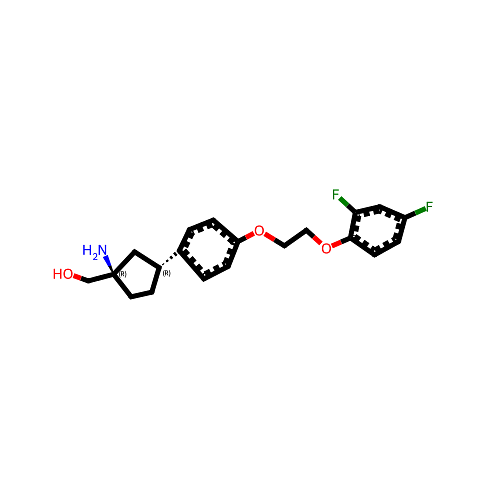 N[C@]1(CO)CC[C@@H](c2ccc(OCCOc3ccc(F)cc3F)cc2)C1